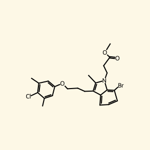 COC(=O)CCn1c(C)c(CCCOc2cc(C)c(Cl)c(C)c2)c2cccc(Br)c21